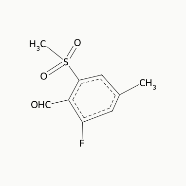 Cc1cc(F)c(C=O)c(S(C)(=O)=O)c1